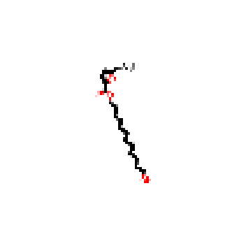 O=C(O)c1ccc(C(=O)OCCCCCCCCCCCCO)o1